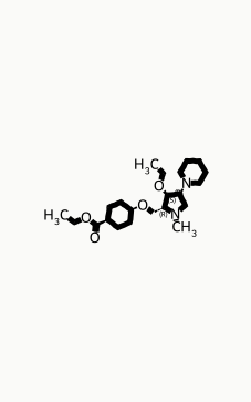 CCOC(=O)[C@H]1CC[C@H](OC[C@@H]2[C@@H](OCC)[C@H](N3CCCCC3)CN2C)CC1